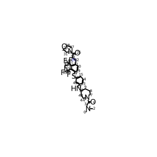 CN(C)CC(=O)N1CCCC(Nc2cccc(Sc3ccc(/C=C/C(=O)N4CCOCC4)c(C(F)(F)F)c3C(F)(F)F)c2)CC1